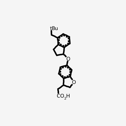 CC(C)(C)Cc1cccc2c1CCC2Oc1ccc2c(c1)OCC2CC(=O)O